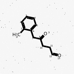 Cc1ccccc1CC(=O)CCC=O